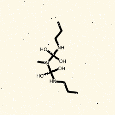 CCCNC(O)(O)N(C)C(O)(O)NCCC